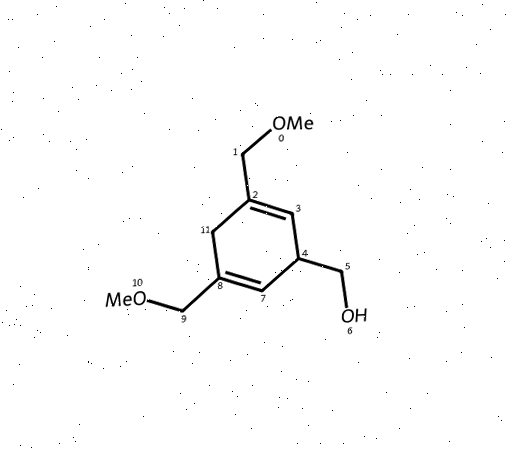 COCC1=CC(CO)C=C(COC)C1